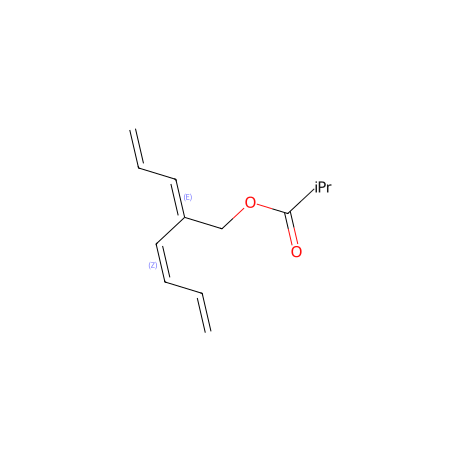 C=C/C=C\C(=C/C=C)COC(=O)C(C)C